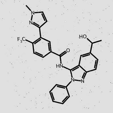 CC(O)c1ccc2nn(-c3ccccc3)c(NC(=O)c3ccc(C(F)(F)F)c(-c4ccn(C)n4)c3)c2c1